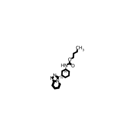 CCCCOC(=O)N[C@@H]1CCC[C@H](c2nnc3ccccn23)C1